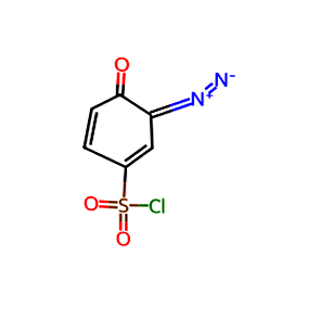 [N-]=[N+]=C1C=C(S(=O)(=O)Cl)C=CC1=O